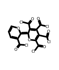 O=C(Cl)C1=CC=COC1=C1OC(C(=O)Cl)=C(C(=O)Cl)C(C(=O)Cl)=C1C(=O)Cl